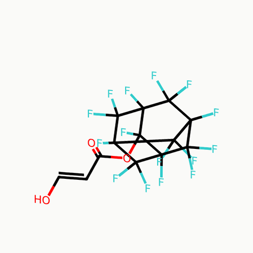 O=C(C=CO)OC1(F)C2(F)C(F)(F)C3(F)C(F)(F)C(F)(C2(F)F)C(F)(F)C1(F)C3(F)F